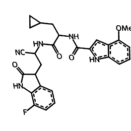 COc1cccc2[nH]c(C(=O)NC(CC3CC3)C(=O)NC(C#N)CC3C(=O)Nc4c(F)cccc43)cc12